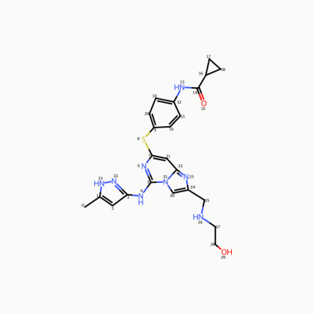 Cc1cc(Nc2nc(Sc3ccc(NC(=O)C4CC4)cc3)cc3nc(CNCCO)cn23)n[nH]1